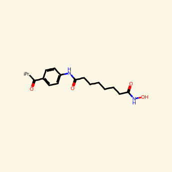 CC(C)C(=O)c1ccc(NC(=O)CCCCCCC(=O)NO)cc1